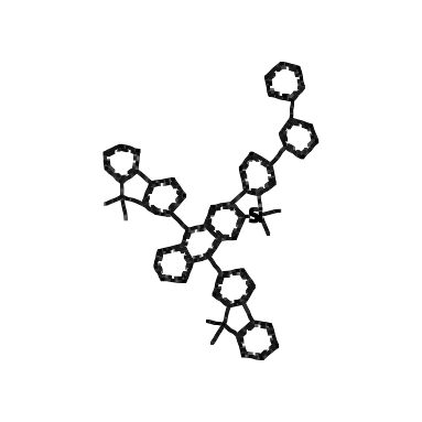 CC1(C)c2ccccc2-c2ccc(-c3c4ccccc4c(-c4ccc5c(c4)C(C)(C)c4ccccc4-5)c4cc5c(cc34)-c3ccc(-c4cccc(-c6ccccc6)c4)cc3[Si]5(C)C)cc21